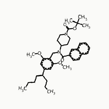 CCCCC(CCC)c1cc(OC)c(CN(C(=O)c2ccc3ccccc3c2)C2CCN(C(=O)OC(C)(C)C)CC2)c(OC)c1